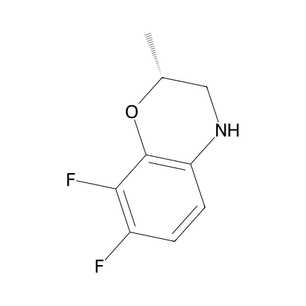 C[C@@H]1CNc2ccc(F)c(F)c2O1